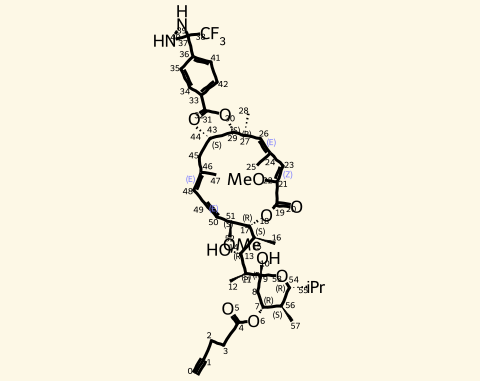 C#CCCC(=O)O[C@@H]1C[C@](O)([C@@H](C)[C@H](O)[C@H](C)[C@H]2OC(=O)/C(OC)=C/C(C)=C/[C@@H](C)[C@@H](OC(=O)c3ccc(C4(C(F)(F)F)NN4)cc3)[C@@H](C)C/C(C)=C/C=C/[C@@H]2OC)O[C@H](C(C)C)[C@H]1C